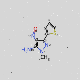 Cn1nc(-c2cccs2)c(N=O)c1N